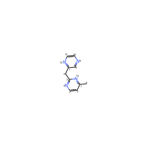 Cc1ccnc(Cc2cnccn2)n1